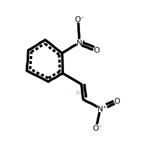 O=[N+]([O-])/C=C/c1ccccc1[N+](=O)[O-]